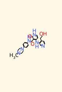 CN1CCN(c2ccc(NC(=O)c3c(Nc4cnccc4CCO)cc[nH]c3=O)cc2)CC1